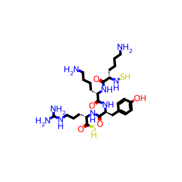 NCCCC[C@H](NS)C(=O)N[C@@H](CCCCN)C(=O)N[C@@H](Cc1ccc(O)cc1)C(=O)N[C@@H](CCCNC(N)N)C(=O)S